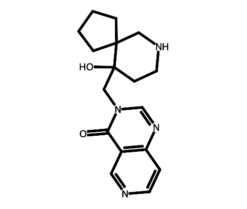 O=c1c2cnccc2ncn1CC1(O)CCNCC12CCCC2